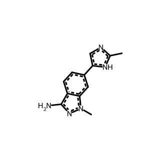 Cc1ncc(-c2ccc3c(N)nn(C)c3c2)[nH]1